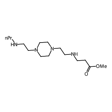 CCCNCCN1CCN(CCNCCC(=O)OC)CC1